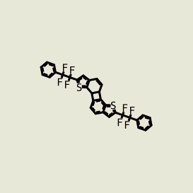 FC(F)(c1ccccc1)C(F)(F)c1cc2c(s1)C1c3ccc4cc(C(F)(F)C(F)(F)c5ccccc5)sc4c3C1C=C2